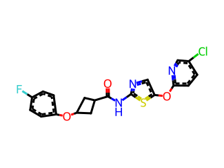 O=C(Nc1ncc(Oc2ccc(Cl)cn2)s1)C1CC(Oc2ccc(F)cc2)C1